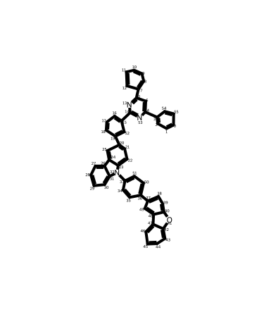 c1ccc(-c2cc(-c3ccccc3)nc(-c3cccc(-c4ccc5c(c4)c4ccccc4n5-c4ccc(-c5ccc6oc7ccccc7c6c5)cc4)c3)n2)cc1